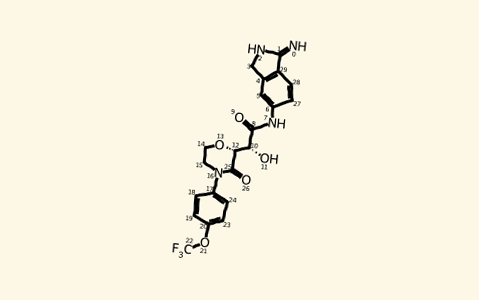 N=C1NCc2cc(NC(=O)[C@H](O)[C@H]3OCCN(c4ccc(OC(F)(F)F)cc4)C3=O)ccc21